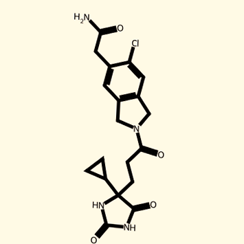 NC(=O)Cc1cc2c(cc1Cl)CN(C(=O)CCC1(C3CC3)NC(=O)NC1=O)C2